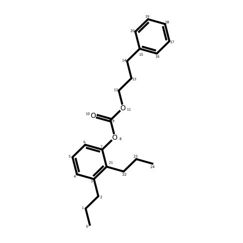 CCCc1cccc(OC(=O)OCCCc2ccccc2)c1CCC